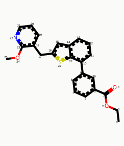 CCOC(=O)c1cccc(-c2cccc3cc(Cc4cccnc4OC)sc23)c1